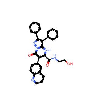 O=C(NCCO)c1[nH]c2c(-c3ccccc3)c(-c3ccccc3)nn2c(=O)c1-c1ccc2ncccc2c1